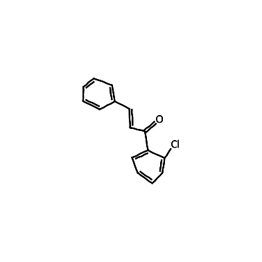 O=C(C=Cc1ccccc1)c1ccccc1Cl